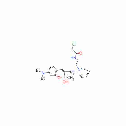 CCN(CC)c1ccc2c(c1)OC(C)(O)C(/C=C/c1cccc[n+]1CCNC(=O)CCl)=C2